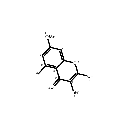 CCCc1c(O)oc2cc(OC)cc(C)c2c1=O